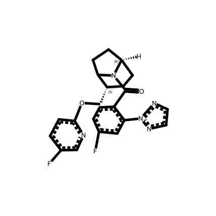 O=C(c1ccc(F)cc1-n1nccn1)N1C2CC[C@H]1CC[C@@H]2COc1ccc(F)cn1